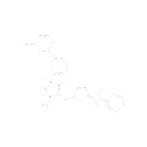 CC1(c2cccc(-c3cccc(Cl)c3)c2)NC(=N)N(CC2CCN(S(=O)(=O)c3ccccc3)C2)C1=O